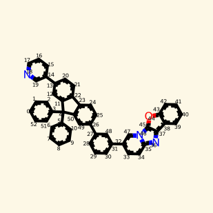 c1ccc(C2(c3ccccc3)c3cc(-c4cccnc4)ccc3-c3ccc(-c4cccc(-c5ccc6nc7c8ccccc8oc7n6c5)c4)cc32)cc1